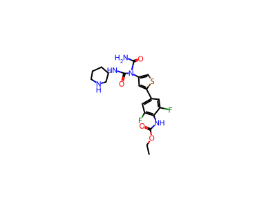 CCOC(=O)Nc1c(F)cc(-c2cc(N(C(N)=O)C(=O)N[C@H]3CCCNC3)cs2)cc1F